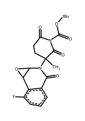 CC(C)(C)OC(=O)N1C(=O)CCC(C)(N2C(=O)c3cccc(F)c3C3OC32)C1=O